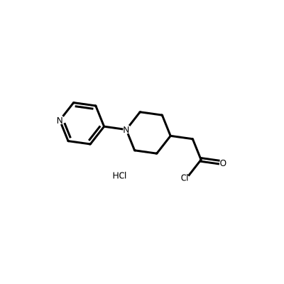 Cl.O=C(Cl)CC1CCN(c2ccncc2)CC1